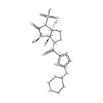 CC(C)[C@H]1C(=O)N(S(C)(=O)=O)[C@H]2CCN(C(=O)c3ccc(CN4CCOCC4)o3)[C@H]12